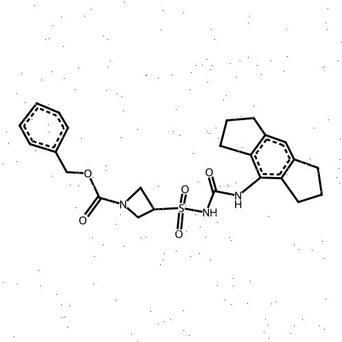 O=C(Nc1c2c(cc3c1CCC3)CCC2)NS(=O)(=O)C1CN(C(=O)OCc2ccccc2)C1